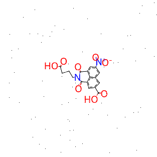 O=C(O)CCCN1C(=O)c2cc(C(=O)O)cc3cc([N+](=O)[O-])cc(c23)C1=O